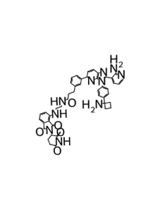 Nc1ncccc1-c1nc2ccc(-c3cccc(CCC(=O)NCCNc4cccc5c4C(=O)N(C4CCC(=O)NC4=O)C5=O)c3)nc2n1-c1ccc(C2(N)CCC2)cc1